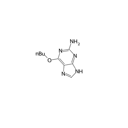 CCCCOc1nc(N)nc2[nH]cnc12